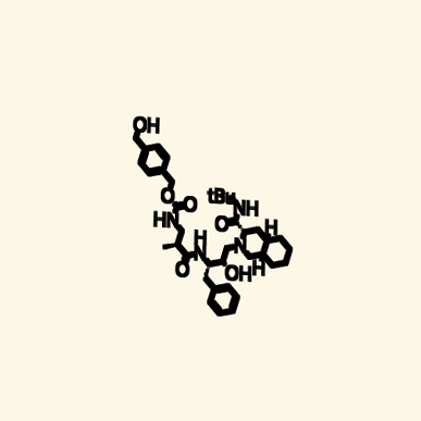 C[C@@H](CNC(=O)OCc1ccc(CO)cc1)C(=O)N[C@@H](Cc1ccccc1)[C@H](O)CN1C[C@H]2CCCC[C@H]2C[C@H]1C(=O)NC(C)(C)C